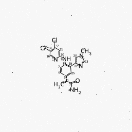 C=C(C(N)=O)c1ccc(Nc2cc(Cl)c(Cl)cn2)c(-c2cn(C)cn2)c1